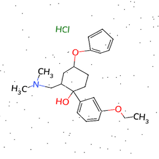 CCOc1cccc(C2(O)CCC(Oc3ccccc3)CC2CN(C)C)c1.Cl